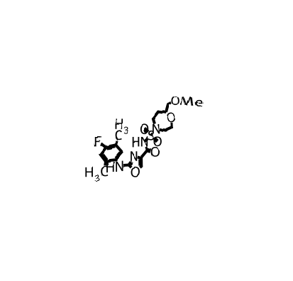 COCC1CCN(S(=O)(=O)NC(=O)c2coc(Nc3cc(C)c(F)cc3C)n2)CCO1